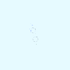 Nc1ccc(-c2ccc(Cl)cc2)[c]n1